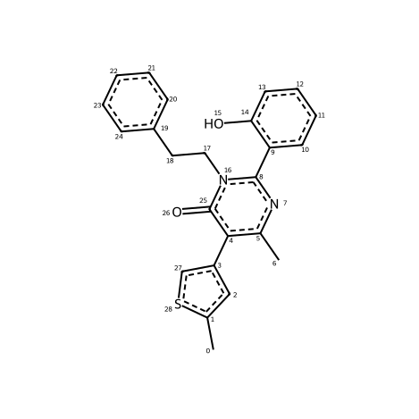 Cc1cc(-c2c(C)nc(-c3ccccc3O)n(CCc3ccccc3)c2=O)cs1